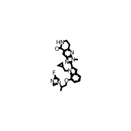 CC(COc1cccc2cc(-c3nc4cc5c(nc4n3C)CCNC5=O)n(CC3CC3)c12)n1cnc(F)c1